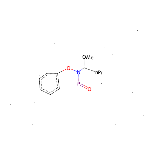 CCCC(OC)N(Oc1ccccc1)P=O